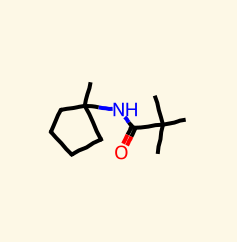 CC1(NC(=O)C(C)(C)C)CCCC1